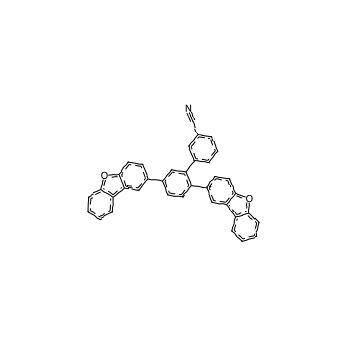 N#Cc1cccc(-c2cc(-c3ccc4oc5ccccc5c4c3)ccc2-c2ccc3oc4ccccc4c3c2)c1